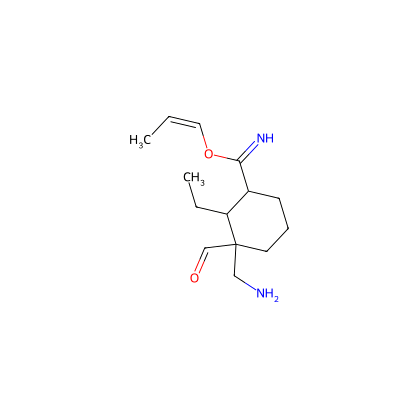 C/C=C\OC(=N)C1CCCC(C=O)(CN)C1CC